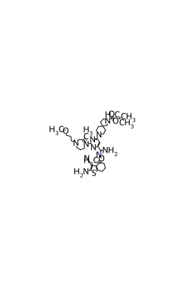 COCCCN1CCCN(c2nc(/C(N)=N/O[C@@]3(C)CCCc4sc(N)c(C#N)c43)cc(N3CCC4(CCN(C(=O)OC(C)(C)C)C4)CC3)n2)[C@@H](C)C1